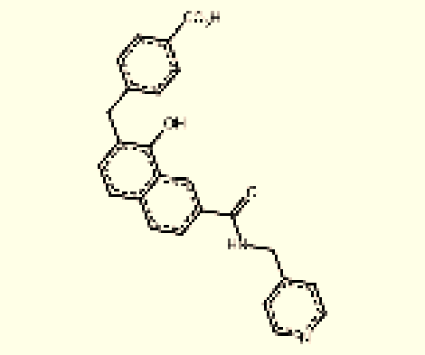 O=C(O)c1ccc(Cc2ccc3ccc(C(=O)NCc4ccncc4)cc3c2O)cc1